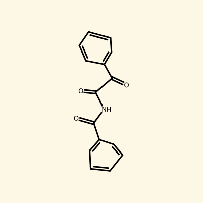 O=C(NC(=O)c1ccccc1)C(=O)c1ccccc1